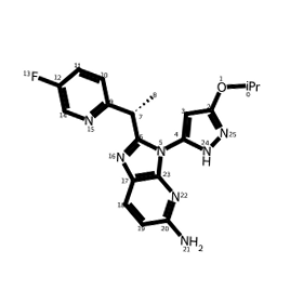 CC(C)Oc1cc(-n2c([C@@H](C)c3ccc(F)cn3)nc3ccc(N)nc32)[nH]n1